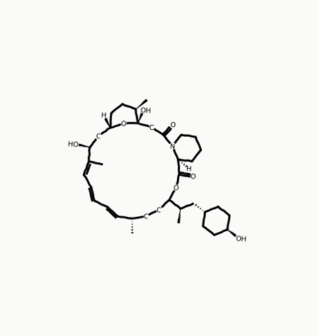 C\C1=C/C=C/C=C/[C@@H](C)CCC([C@H](C)C[C@H]2CC[C@H](O)CC2)OC(=O)[C@@H]2CCCCN2C(=O)C[C@]2(O)O[C@@H](CC[C@H]2C)C[C@@H]1O